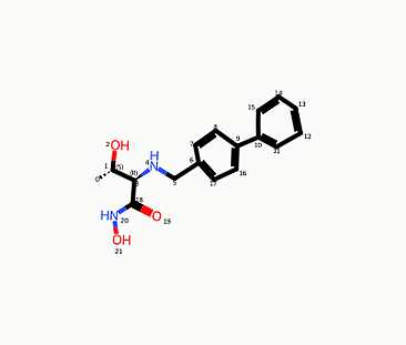 C[C@H](O)[C@@H](NCc1ccc(-c2ccccc2)cc1)C(=O)NO